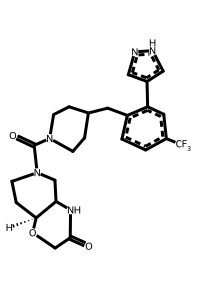 O=C1CO[C@H]2CCN(C(=O)N3CCC(Cc4ccc(C(F)(F)F)cc4-c4cn[nH]c4)CC3)CC2N1